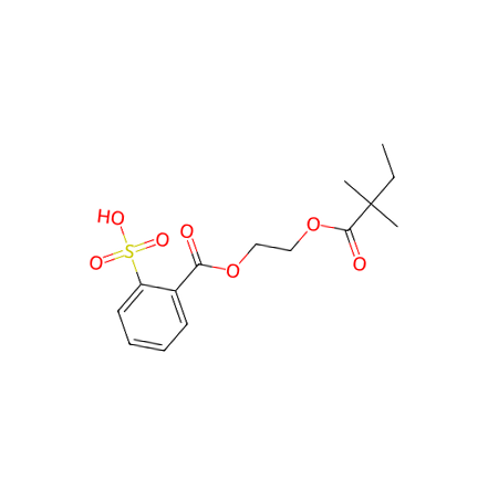 CCC(C)(C)C(=O)OCCOC(=O)c1ccccc1S(=O)(=O)O